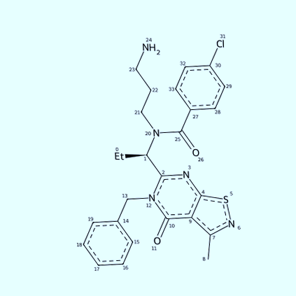 CC[C@H](c1nc2snc(C)c2c(=O)n1Cc1ccccc1)N(CCCN)C(=O)c1ccc(Cl)cc1